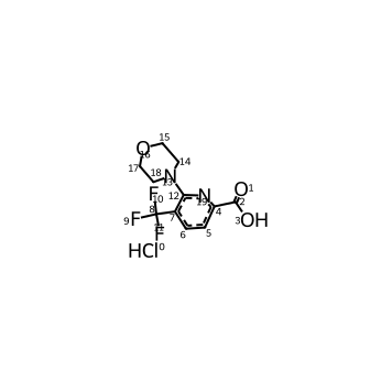 Cl.O=C(O)c1ccc(C(F)(F)F)c(N2CCOCC2)n1